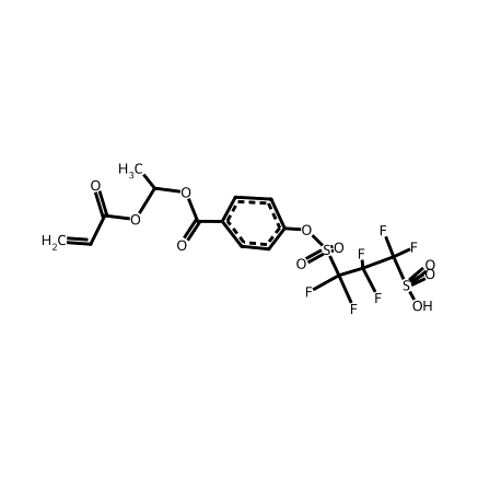 C=CC(=O)OC(C)OC(=O)c1ccc(OS(=O)(=O)C(F)(F)C(F)(F)C(F)(F)S(=O)(=O)O)cc1